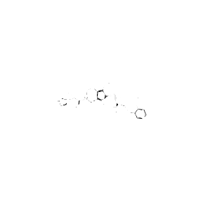 CCOc1ccccc1CCC(=O)Nc1sc2c(c1C#N)CCN(C(=O)Cn1ccnc1C)C2